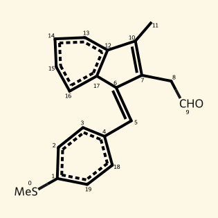 CSc1ccc(/C=C2/C(CC=O)=C(C)c3ccccc32)cc1